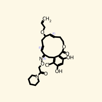 C=CCOC1/C=C/CCOC(=O)c2c(O)cc(O)c(Cl)c2CC(=N\OCC(=O)N2CCCCC2)/C=C/C1